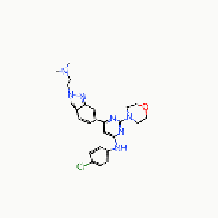 CN(C)CCn1cc2ccc(-c3cc(Nc4ccc(Cl)cc4)nc(N4CCOCC4)n3)cc2n1